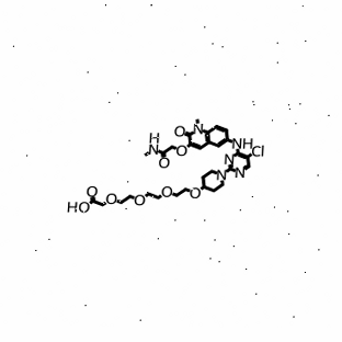 CNC(=O)COc1cc2cc(Nc3nc(N4CCC(OCCOCCOCCOCC(=O)O)CC4)ncc3Cl)ccc2n(C)c1=O